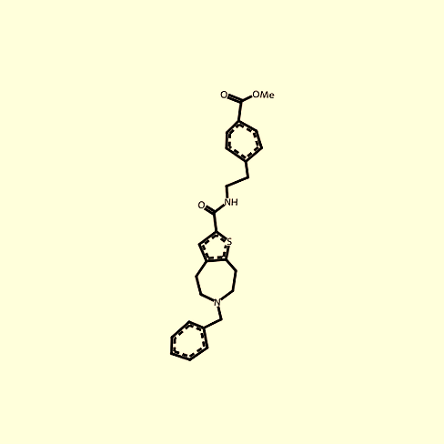 COC(=O)c1ccc(CCNC(=O)c2cc3c(s2)CCN(Cc2ccccc2)CC3)cc1